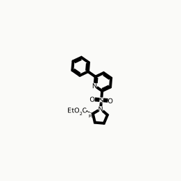 CCOC(=O)[C@H]1CCCN1S(=O)(=O)c1cccc(-c2ccccc2)n1